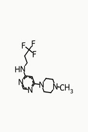 CN1CCN(c2cc(NCCC(F)(F)F)ncn2)CC1